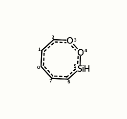 c1ccoo[siH]cc1